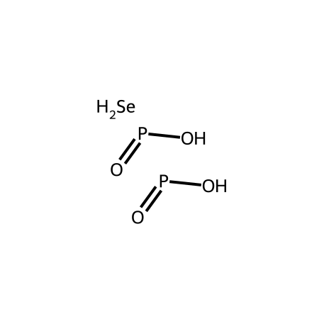 O=PO.O=PO.[SeH2]